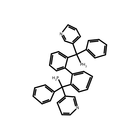 PC(c1ccccc1)(c1cccnc1)c1ccccc1-c1ccccc1C(P)(c1ccccc1)c1cccnc1